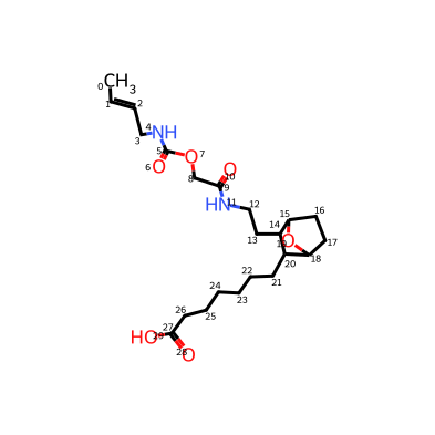 CC=CCNC(=O)OCC(=O)NCCC1C2CCC(O2)C1CCCCCCC(=O)O